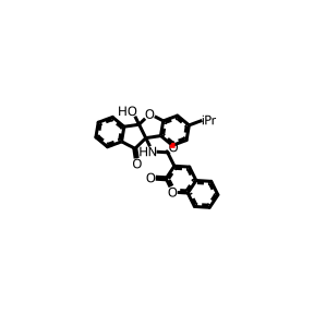 CC(C)c1ccc2c(c1)OC1(O)c3ccccc3C(=O)C21NC(=O)c1cc2ccccc2oc1=O